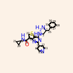 NC(CNc1nc(-c2ccncc2)nc2c(C(=O)NC3CC3)csc12)Cc1ccccc1